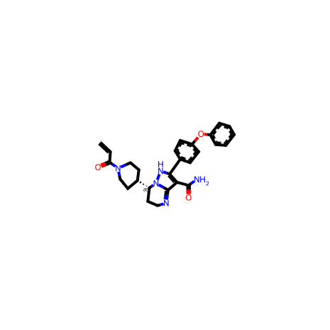 C=CC(=O)N1CCC([C@H]2CCN=C3C(C(N)=O)=C(c4ccc(Oc5ccccc5)cc4)NN32)CC1